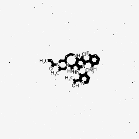 C=CC(=O)N1CC2CCNc3c(Cl)c(-c4c(O)cccc4F)nc(Nc4c(C)ccnc4C(C)O)c3C(=N)N2CC1C